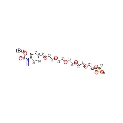 CC(C)(C)OC(=O)NC1CCC(COCCOCCOCCOCCOCCOS(C)(=O)=O)CC1